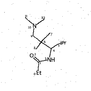 CCC(=O)NC(C(C)C)C(C)(C)CN(C)C